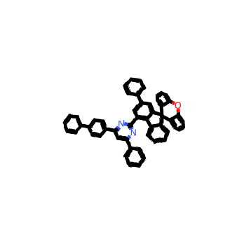 c1ccc(-c2ccc(-c3cc(-c4ccccc4)nc(-c4cc(-c5ccccc5)cc5c4-c4ccccc4C54c5ccccc5Oc5ccccc54)n3)cc2)cc1